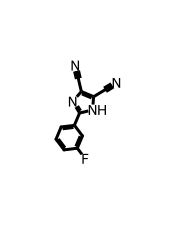 N#Cc1nc(-c2cccc(F)c2)[nH]c1C#N